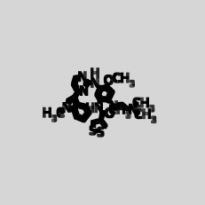 COc1cc(N(C)CCN(C)C)c(NC(=O)C2CSSC2)cc1Nc1nccc(-c2cn(C)c3ccccc23)n1